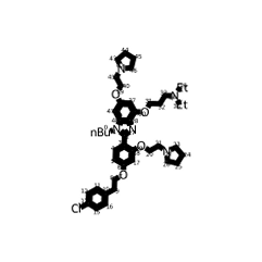 CCCCn1c(-c2ccc(OCCc3ccc(Cl)cc3)cc2OCCN2CCCC2)nc2c(OCCCN(CC)CC)cc(OCCN3CCCC3)cc21